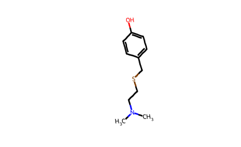 CN(C)CCSCc1ccc(O)cc1